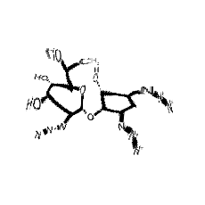 CC(O)C1O[C@H](O[C@@H]2C(N=[N+]=[N-])CC(N=[N+]=[N-])C[C@H]2O)C(N=[N+]=[N-])[C@@H](O)[C@@H]1O